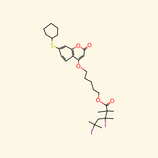 CC(C)(I)CC(C)(I)C(C)(C)C(=O)OCCCCCOc1cc(=O)oc2cc(SC3CCCCC3)ccc12